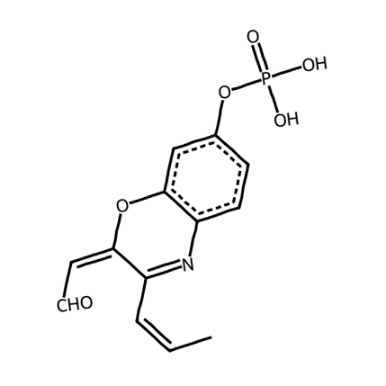 C/C=C\C1=Nc2ccc(OP(=O)(O)O)cc2O/C1=C/C=O